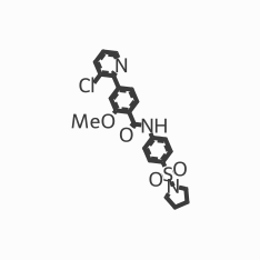 COc1cc(-c2ncccc2Cl)ccc1C(=O)Nc1ccc(S(=O)(=O)N2CCCC2)cc1